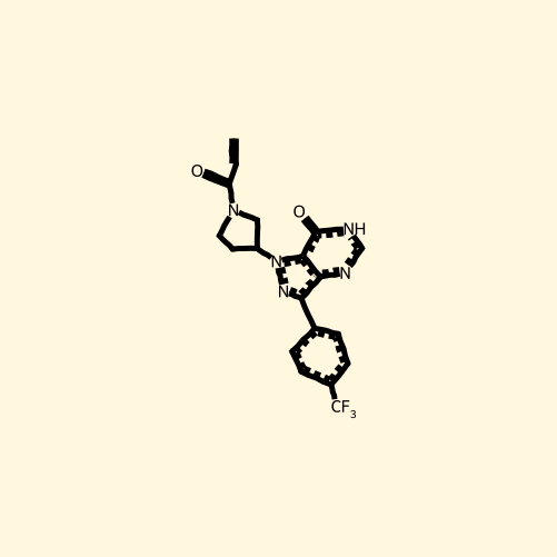 C=CC(=O)N1CCC(n2nc(-c3ccc(C(F)(F)F)cc3)c3nc[nH]c(=O)c32)C1